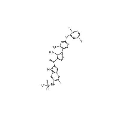 Cc1cc(Oc2cc(F)ccc2F)ncc1-n1ncc(C(=O)c2cc3cc(F)c(NS(C)(=O)=O)cc3[nH]2)c1N